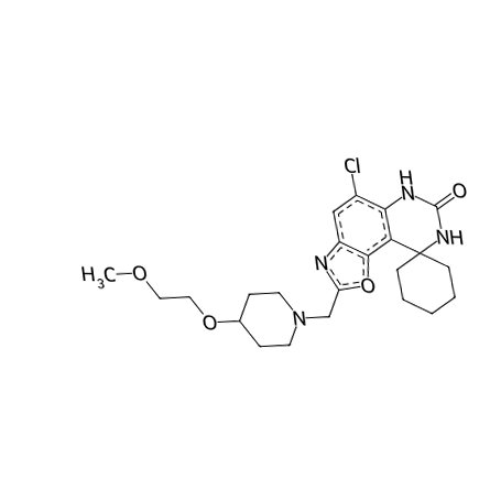 COCCOC1CCN(Cc2nc3cc(Cl)c4c(c3o2)C2(CCCCC2)NC(=O)N4)CC1